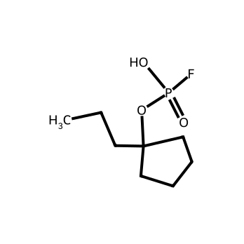 CCCC1(OP(=O)(O)F)CCCC1